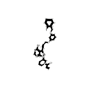 C=CC(=O)N1CCCC(n2nc(C#CCOc3cccc(OCc4ccccc4F)c3)c3c(N)ncnc32)C1